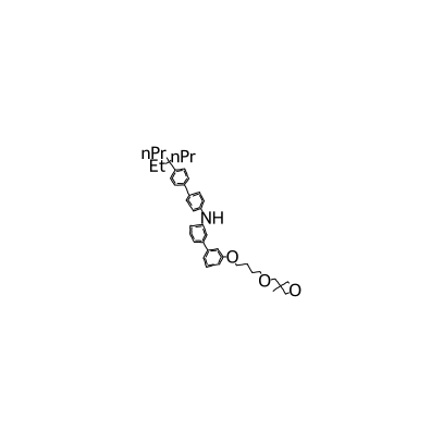 CCCC(CC)(CCC)c1ccc(-c2ccc(Nc3cccc(-c4cccc(OCCCCOCC5(C)COC5)c4)c3)cc2)cc1